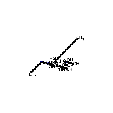 CCCCCCCCC/C=C\CC/C=C/C(O)C(COC(O)C(O)C(O)C(CCO)OC(O)/C(O)=C(/O)C(O)CCO)NC(=O)C(O)CCCCCCCCCCCCCCCCCC